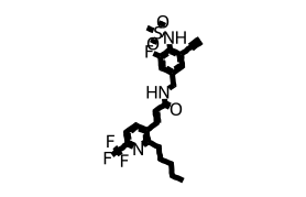 C#Cc1cc(CNC(=O)/C=C/c2ccc(C(F)(F)F)nc2CCCCC)cc(F)c1NS(C)(=O)=O